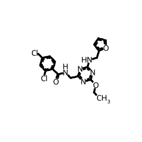 CCOc1nc(CNC(=O)c2ccc(Cl)cc2Cl)nc(NCc2ccco2)n1